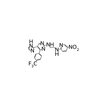 O=[N+]([O-])c1ccc(NCCNc2ncc(-c3ncc[nH]3)c(-c3ccc(C(F)(F)F)cc3)n2)nc1